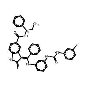 CC[C@@H](NC(=O)c1ccc2c(c1)/C(=C(/Nc1cccc(NC(=O)Nc3cccc(Cl)c3)c1)c1ccccc1)C(=O)N2)c1ccccc1